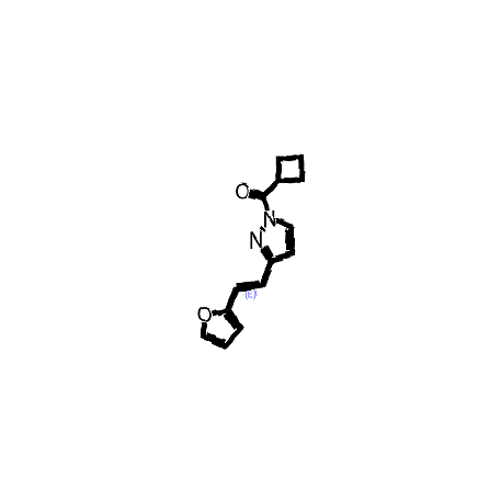 O=C(C1CCC1)n1ccc(/C=C/c2ccco2)n1